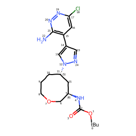 CC(C)(C)OC(=O)N[C@H]1COCCC[C@H](n2cc(-c3cc(Cl)nnc3N)cn2)C1